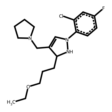 CCOCCCC1NN(c2ccc(F)cc2Cl)C=C1CN1CCCC1